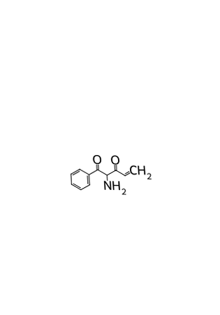 C=CC(=O)C(N)C(=O)c1ccccc1